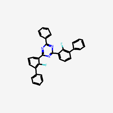 Fc1c(-c2ccccc2)cccc1-c1nc(-c2ccccc2)nc(-c2cccc(-c3ccccc3)c2F)n1